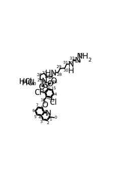 Cc1ccc2cccc(OCc3c(Cl)ccc(S(=O)(=O)N4CCC[C@H]4C(=O)NCCCCNC=NN)c3Cl)c2n1.Cl.Cl